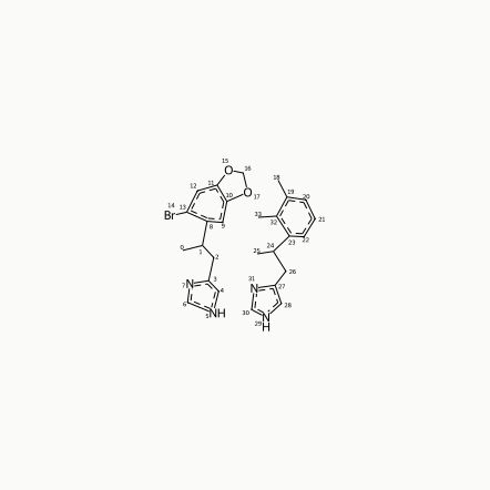 CC(Cc1c[nH]cn1)c1cc2c(cc1Br)OCO2.Cc1cccc(C(C)Cc2c[nH]cn2)c1C